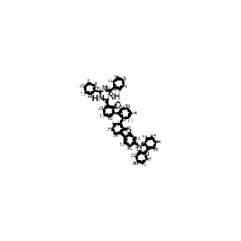 c1ccc(C2=NC(c3ccccc3)NC(c3cccc4c3oc3cccc(-c5cccc6c5sc5cc(-n7c8ccccc8c8ccccc87)ccc56)c34)N2)cc1